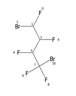 FC(Br)C(F)C(F)C(F)(F)Br